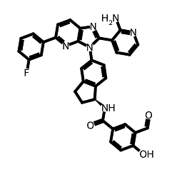 Nc1ncccc1-c1nc2ccc(-c3cccc(F)c3)nc2n1-c1ccc2c(c1)CC[C@@H]2NC(=O)c1ccc(O)c(C=O)c1